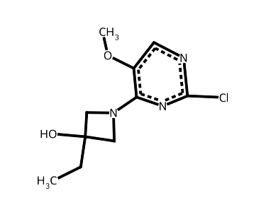 CCC1(O)CN(c2nc(Cl)ncc2OC)C1